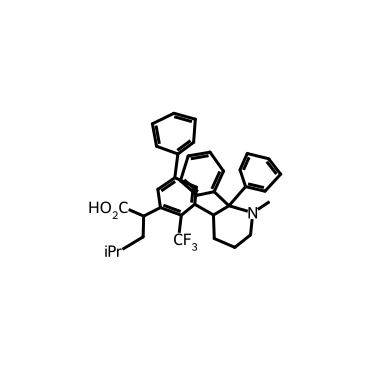 CC(C)CC(C(=O)O)c1cc(-c2ccccc2)cc(C2CCCN(C)C2(c2ccccc2)c2ccccc2)c1C(F)(F)F